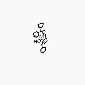 O=C(c1ccccc1)c1ccccc1NC(O)[C@H]1CCCN1Cc1ccccc1